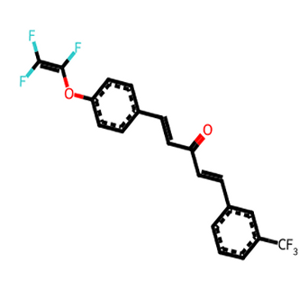 O=C(C=Cc1ccc(OC(F)=C(F)F)cc1)C=Cc1cccc(C(F)(F)F)c1